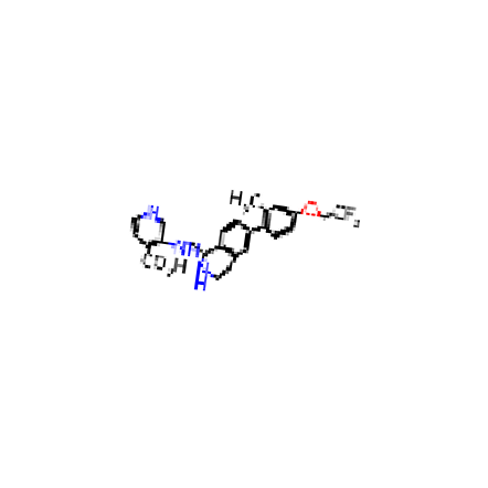 Cc1cc(OCC(F)(F)F)ccc1-c1ccc2c(c1)CCN[C@H]2CNc1cnccc1C(=O)O